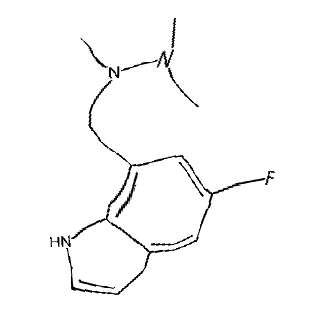 CN(C)N(C)Cc1cc(F)cc2cc[nH]c12